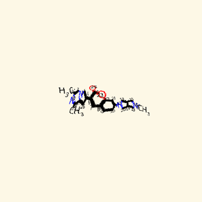 Cc1cn2cc(-c3cc4ccc(N5C=C6C=[N+](C)C=C6C5)cc4oc3=O)cc2c(C)n1